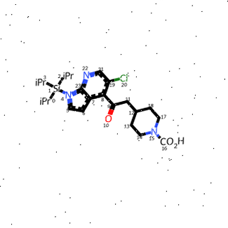 CC(C)[Si](C(C)C)(C(C)C)n1ccc2c(C(=O)CC3CCN(C(=O)O)CC3)c(Cl)cnc21